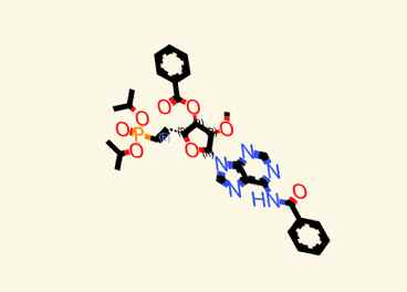 CO[C@@H]1[C@H](OC(=O)c2ccccc2)[C@@H](/C=C/P(=O)(OC(C)C)OC(C)C)O[C@H]1n1cnc2c(NC(=O)c3ccccc3)ncnc21